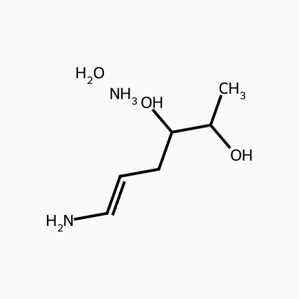 CC(O)C(O)CC=CN.N.O